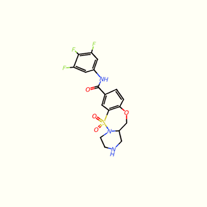 O=C(Nc1cc(F)c(F)c(F)c1)c1ccc2c(c1)S(=O)(=O)N1CCNCC1CO2